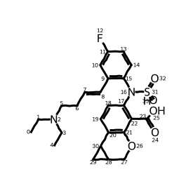 CCN(CC)CCC=Cc1cc(F)ccc1N(c1ccc2c(c1C(=O)O)OCC1CC21)[SH](=O)=O